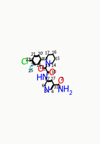 NC(=O)c1cncc(NC(=O)C(=O)N2CCCC[C@H]2c2ccc(Cl)c(F)c2)c1